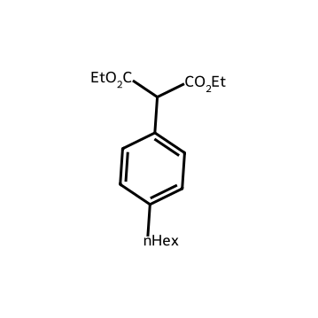 CCCCCCc1ccc(C(C(=O)OCC)C(=O)OCC)cc1